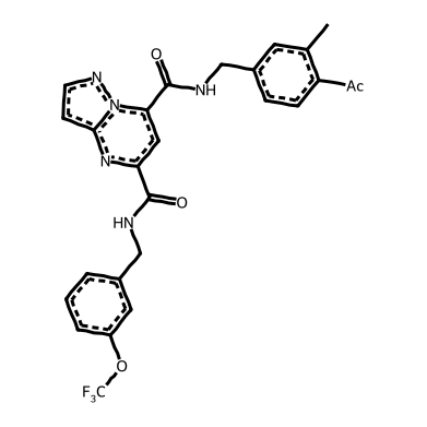 CC(=O)c1ccc(CNC(=O)c2cc(C(=O)NCc3cccc(OC(F)(F)F)c3)nc3ccnn23)cc1C